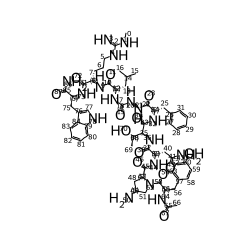 CNC(=N)NCCC[C@H](NC(=O)[C@H](CC(C)C)NC(=O)NNC(=O)[C@H](Cc1ccccc1)NC(=O)C(NC(=O)[C@H](CC(N)=O)NC(=O)[C@@H]1C[C@H](N)CN1C(=O)[C@@H](Cc1ccc(O)cc1)NC(C)=O)[C@@H](C)O)C(=O)N[C@@H](Cc1c[nH]c2ccccc12)C(N)=O